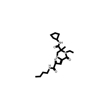 CCCCNC(=O)c1cc2n(n1)CC(C)(C(=O)NC1CCCC1)N(CC)C2=O